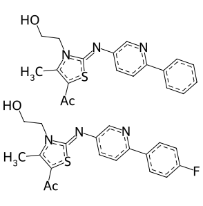 CC(=O)c1s/c(=N\c2ccc(-c3ccc(F)cc3)nc2)n(CCO)c1C.CC(=O)c1s/c(=N\c2ccc(-c3ccccc3)nc2)n(CCO)c1C